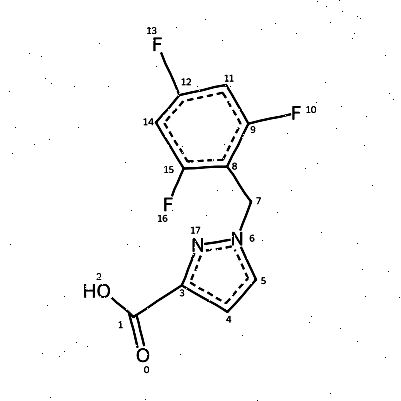 O=C(O)c1ccn(Cc2c(F)cc(F)cc2F)n1